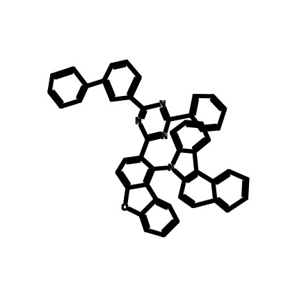 c1ccc(-c2cccc(-c3nc(-c4ccccc4)nc(-c4ccc5oc6ccccc6c5c4-n4c5ccccc5c5c6ccccc6ccc54)n3)c2)cc1